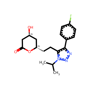 CC(C)n1nnc(-c2ccc(F)cc2)c1CC[C@H]1C[C@H](O)CC(=O)O1